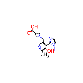 Cc1ncc(CN2CC(C(=O)O)C2)c(-c2ncc[nH]2)c1O